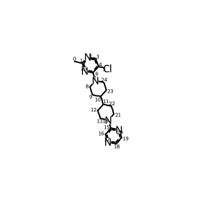 Cc1ncc(Cl)c(N2CCC(C3CCN(c4cnccn4)CC3)CC2)n1